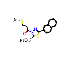 CCOC(=O)C1SC(c2ccc3ccccc3c2)=NN1C(=O)CCSC(C)=O